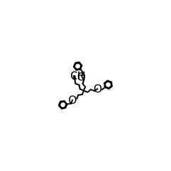 C#CCCCC(CCCOCc1ccccc1)(CCCOCc1ccccc1)CCCOCc1ccccc1